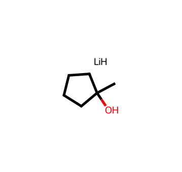 CC1(O)CCCC1.[LiH]